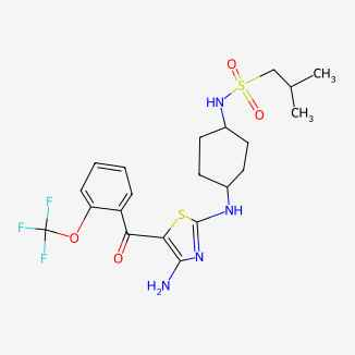 CC(C)CS(=O)(=O)NC1CCC(Nc2nc(N)c(C(=O)c3ccccc3OC(F)(F)F)s2)CC1